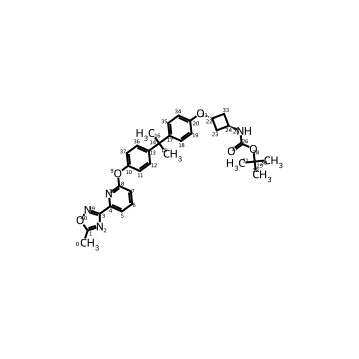 Cc1nc(-c2cccc(Oc3ccc(C(C)(C)c4ccc(O[C@H]5C[C@H](NC(=O)OC(C)(C)C)C5)cc4)cc3)n2)no1